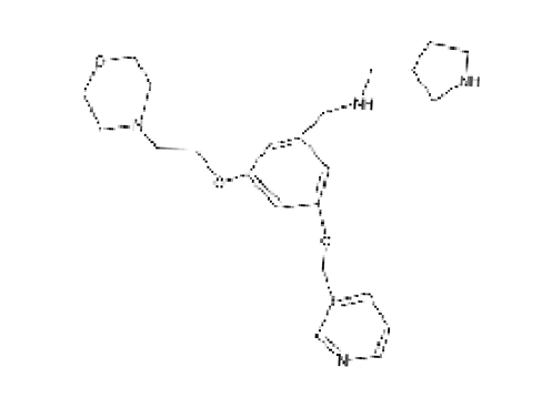 c1cncc(COc2cc(CNCC3CCNC3)cc(OCCN3CCOCC3)c2)c1